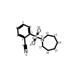 N#Cc1ccccc1S(=O)(=O)N1CCCCCC1